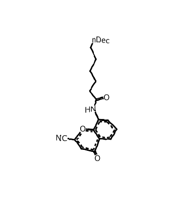 CCCCCCCCCCCCCCCC(=O)Nc1cccc2c(=O)cc(C#N)oc12